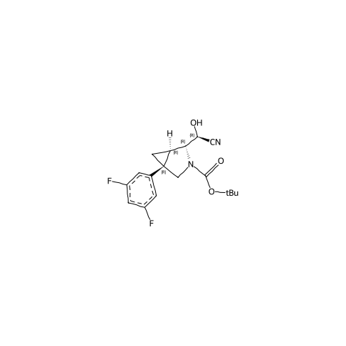 CC(C)(C)OC(=O)N1C[C@]2(c3cc(F)cc(F)c3)C[C@H]2[C@@H]1[C@@H](O)C#N